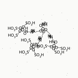 CCCNC(=O)c1cc(OCCCCc2cn(CCCNC(=O)c3cc(OCCCS(=O)(=O)O)c(OCCS(=O)(=O)O)c(OCCCS(=O)(=O)O)c3)nn2)c(OCCCCc2cn(CCCNC(=O)c3cc(OCCCS(=O)(=O)O)c(OCCCS(=O)(=O)O)c(OCCCS(=O)(=O)O)c3)nn2)c(OCCCCc2cn(CCCNC(=O)c3cc(OCCCS(=O)(=O)O)c(OCCS(=O)(=O)O)c(OCCCS(=O)(=O)O)c3)nn2)c1